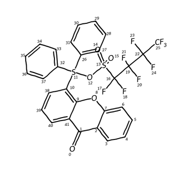 O=c1c2ccccc2oc2c(S(OS(=O)(=O)C(F)(F)C(F)(F)C(F)(F)C(F)(F)F)(c3ccccc3)c3ccccc3)cccc12